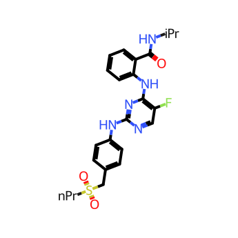 CCCS(=O)(=O)Cc1ccc(Nc2ncc(F)c(Nc3ccccc3C(=O)NC(C)C)n2)cc1